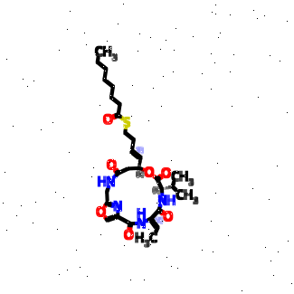 C/C=C1\NC(=O)c2coc(n2)CNC(=O)C[C@@H](/C=C/CCSC(=O)CCCCCCC)OC(=O)[C@H](C(C)C)NC1=O